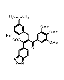 COc1cc(C(=O)/C(Cc2cccc(N(C)C)c2)=C(/C(=O)[O-])c2ccc3nsnc3c2)cc(OC)c1OC.[Na+]